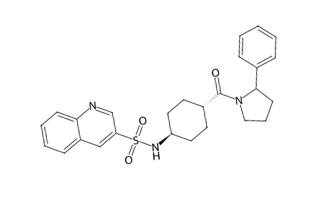 O=C([C@H]1CC[C@H](NS(=O)(=O)c2cnc3ccccc3c2)CC1)N1CCCC1c1ccccc1